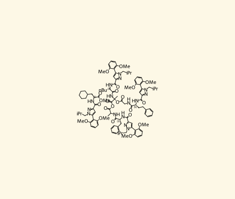 CCCC[C@H](NC(=O)c1cc(-c2c(OC)cccc2OC)n(CC(C)C)n1)C(=O)NC(C)(OC(=O)CNC(=O)[C@H](CCc1ccccc1)NC(=O)c1cc(-c2c(OC)cccc2OC)n(CC(C)C)n1)C(=O)OC(=O)C(C)NC(=O)[C@H](Cc1ccccc1)NC(=O)c1cc(-c2c(OC)cccc2OC)n(CC(C)C)n1.COC(=O)[C@H](CC1CCCCC1)NC(=O)c1cc(-c2c(OC)cccc2OC)n(CC(C)C)n1